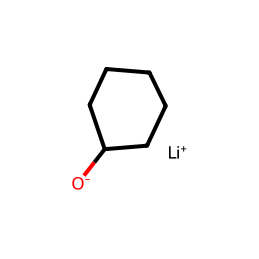 [Li+].[O-]C1CCCCC1